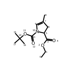 CCOC(=O)C1CC(C)=CN1C(=O)OC(C)(C)C